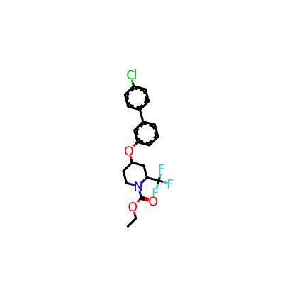 CCOC(=O)N1CCC(Oc2cccc(-c3ccc(Cl)cc3)c2)CC1C(F)(F)F